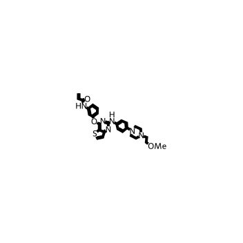 C=CC(=O)Nc1cccc(Oc2nc(Nc3ccc(N4CCN(CCOC)CC4)cc3)nc3ccsc23)c1